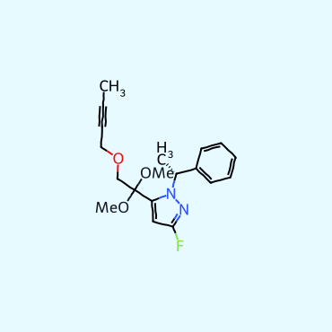 CC#CCOCC(OC)(OC)c1cc(F)nn1[C@H](C)c1ccccc1